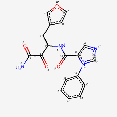 NC(=O)C(=O)C(Cc1ccoc1)NC(=O)c1cncn1-c1ccccc1